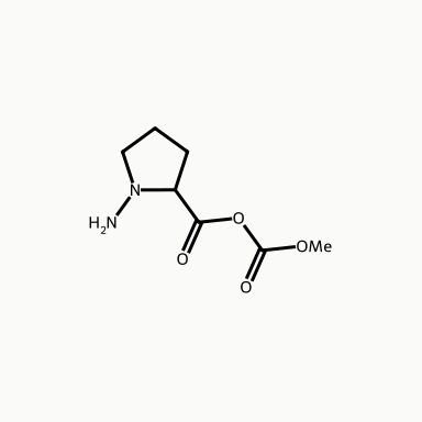 COC(=O)OC(=O)C1CCCN1N